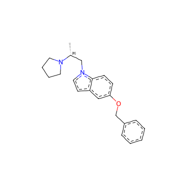 C[C@H](Cn1ccc2cc(OCc3ccccc3)ccc21)N1CCCC1